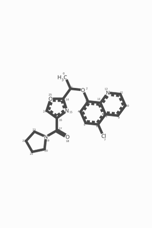 CC(Oc1ccc(Cl)c2cccnc12)c1nc(C(=O)N2CCCC2)co1